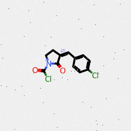 O=C(Cl)N1CC/C(=C/c2ccc(Cl)cc2)C1=O